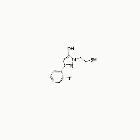 Oc1cc(-c2ccccc2F)nn1CCS